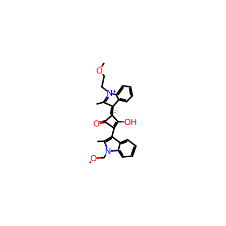 COCC[N+]1=C(C)/C(=C2\C(=O)C(c3c(C)n(COC)c4ccccc34)=C2O)c2ccccc21